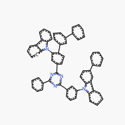 c1ccc(-c2cccc(-c3ccc(-c4nc(-c5ccccc5)nc(-c5cccc(-n6c7ccccc7c7cc(-c8ccccc8)ccc76)c5)n4)cc3-n3c4ccccc4c4ccccc43)c2)cc1